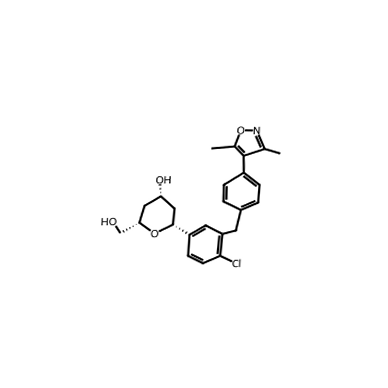 Cc1noc(C)c1-c1ccc(Cc2cc([C@H]3C[C@@H](O)C[C@@H](CO)O3)ccc2Cl)cc1